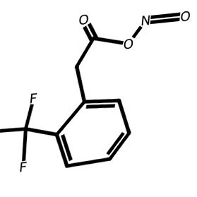 O=NOC(=O)Cc1ccccc1C(F)(F)F